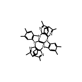 Cc1cccc(N2C(=C3N(c4cccc(C)n4)c4cc(C)c(C)cc4N3c3cccc(C)n3)N(c3cccc(C)n3)c3cc(C)c(C)cc32)n1